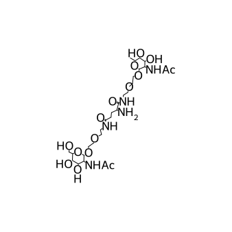 CC(=O)NC1C(OCCOCCNC(=O)C(N)CCC(=O)NCCOCCOC2OC(CO)C(O)C(O)C2NC(C)=O)OC(C)C(O)C1O